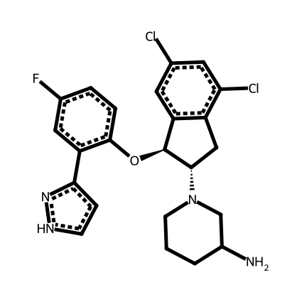 NC1CCCN([C@H]2Cc3c(Cl)cc(Cl)cc3[C@@H]2Oc2ccc(F)cc2-c2cc[nH]n2)C1